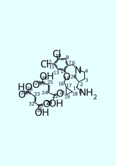 NC[C@@H]1CCN(Cc2cc(Cl)c(Cl)cc2OCC2CC2)C1.O=C(O)/C=C/C(=O)O.O=C(O)/C=C/C(=O)O